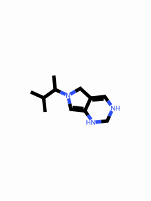 CC(C)C(C)N1C=C2NCNC=C2C1